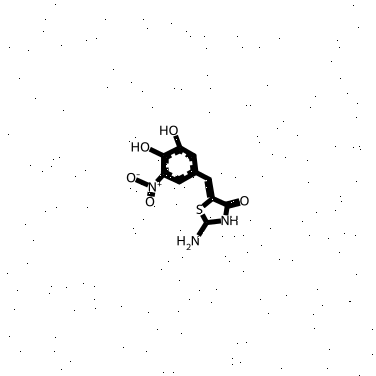 NC1NC(=O)C(=Cc2cc(O)c(O)c([N+](=O)[O-])c2)S1